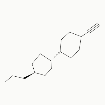 C#CC1CCC([C@H]2CC[C@H](CCC)CC2)CC1